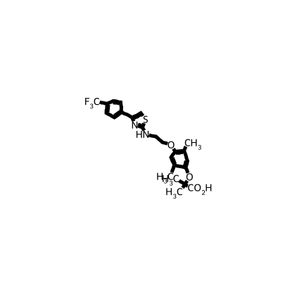 Cc1cc(OC(C)(C)C(=O)O)c(C)cc1OCCNc1nc(-c2ccc(C(F)(F)F)cc2)cs1